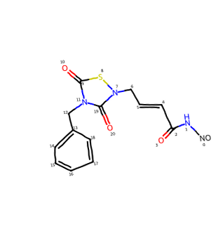 O=NNC(=O)/C=C/Cn1sc(=O)n(Cc2ccccc2)c1=O